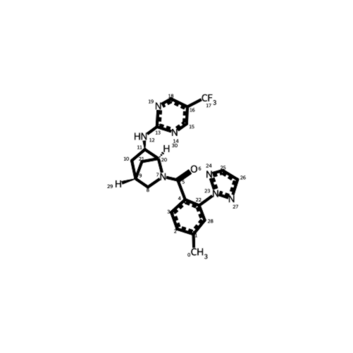 Cc1ccc(C(=O)N2C[C@@H]3C[C@@H](Nc4ncc(C(F)(F)F)cn4)[C@@H]2C3)c(-n2nccn2)c1